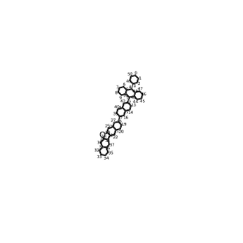 c1ccc(-c2c3ccccc3c(-c3ccc4cc(-c5ccc6cc7c(cc6c5)oc5cc6ccccc6cc57)ccc4c3)c3ccccc23)cc1